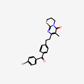 Cc1c(CCc2ccc(C(=O)c3ccc(Cl)cc3)cc2)nc2n(c1=O)CCCS2